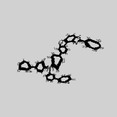 c1ccc(-c2ccc(N(c3ccc(-c4ccc5c(c4)oc4ccc6sc(-c7ccccc7)nc6c45)cc3)c3cccc(-c4ccccc4)c3)cc2)cc1